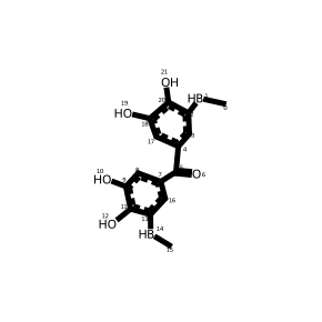 CBc1cc(C(=O)c2cc(O)c(O)c(BC)c2)cc(O)c1O